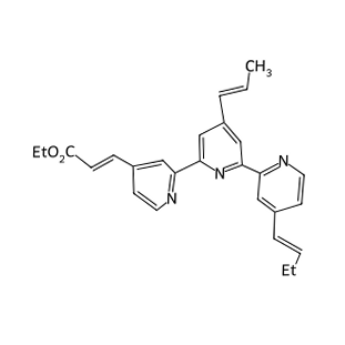 C/C=C/c1cc(-c2cc(/C=C/CC)ccn2)nc(-c2cc(/C=C/C(=O)OCC)ccn2)c1